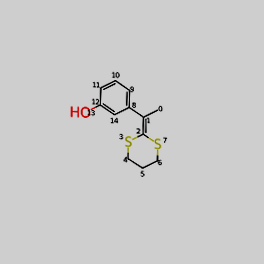 CC(=C1SCCCS1)c1cccc(O)c1